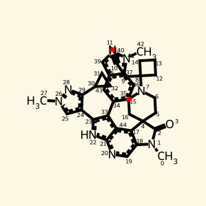 CN1C(=O)C2(CCN(C3(CC#N)CCC3)CC2)c2c1cnc1[nH]c(-c3cn(C)nc3C3CC3)c(-c3ccc4c(cnn4C)c3)c21